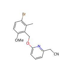 COc1ccc(Br)c(C)c1COc1cccc(CC#N)n1